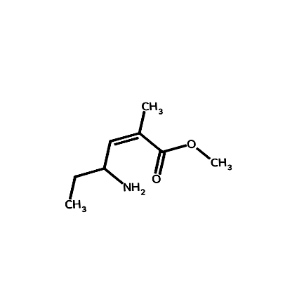 CCC(N)C=C(C)C(=O)OC